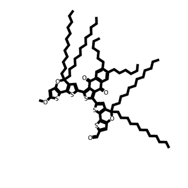 CCCCCCCCCCCCC1(CCCCCCCCCCCC)Oc2cc(C=O)sc2-c2sc(-c3sc(-c4cc5c(s4)-c4sc(OC)cc4OC5(CCCCCCCCCCCC)CCCCCCCCCCCC)c4c3C(=O)c3cc(CCCCCC)c(CCCCCC)cc3C4=O)cc21